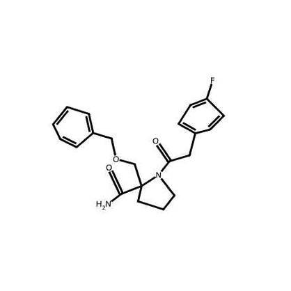 NC(=O)C1(COCc2ccccc2)CCCN1C(=O)Cc1ccc(F)cc1